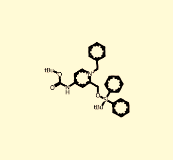 CC(C)(C)OC(=O)Nc1cc[n+](Cc2ccccc2)c(CO[Si](c2ccccc2)(c2ccccc2)C(C)(C)C)c1